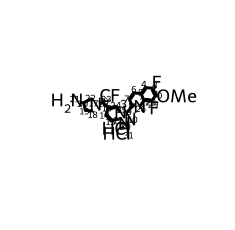 COc1c(F)cc2ccc(-c3nnc4ccc([C@@H](N5CCC(N)C5)C(F)(F)F)cn34)nc2c1F.Cl.Cl